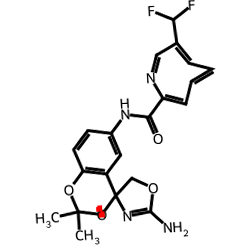 CC1(C)Oc2ccc(NC(=O)C3=C/C=C/C=C(C(F)F)/C=N\3)cc2C2(COC(N)=N2)C12COC2